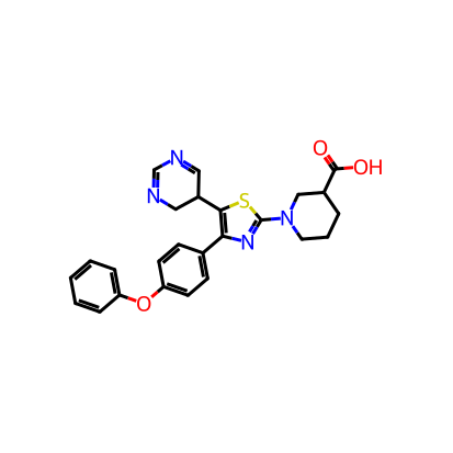 O=C(O)C1CCCN(c2nc(-c3ccc(Oc4ccccc4)cc3)c(C3C=NC=NC3)s2)C1